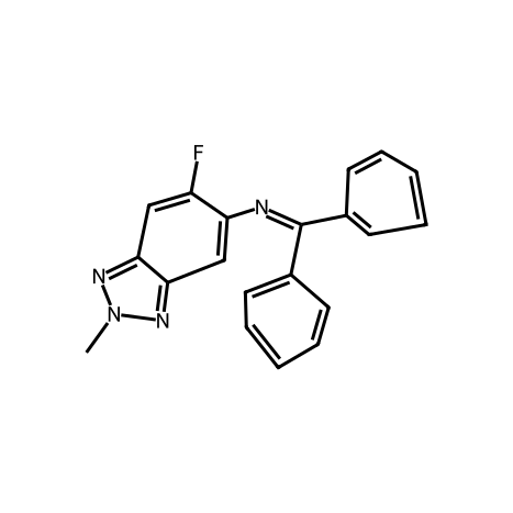 Cn1nc2cc(F)c(N=C(c3ccccc3)c3ccccc3)cc2n1